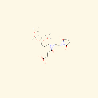 C[Si](C)(C)O[Si](C)(C)O[Si](C)(CCCN(CCN1C(=O)CCC1=O)C(=O)CCC(=O)O)O[Si](C)(C)C